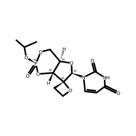 CC(C)O[P@@]1(=O)OC[C@H]2O[C@@H](n3ccc(=O)[nH]c3=O)[C@@]3(CCO3)[C@@H]2O1